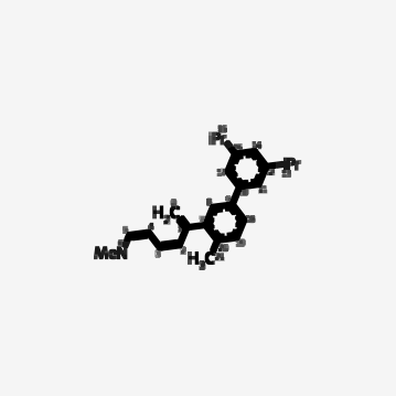 C=C(/C=C\C=C/NC)c1cc(-c2cc(C(C)C)cc(C(C)C)c2)ccc1C